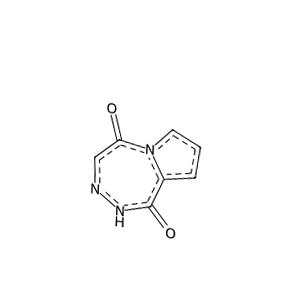 O=c1[nH]ncc(=O)n2cccc12